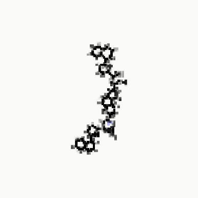 C/N=C(\SC(=N)C1CC=CC(c2cccc3ccccc23)=N1)c1ccc2c(ccc3nc(C(=N)SC(=N)C4=NC(C5C=CC=C6C=CC=CC65)CC=C4)ccc32)n1